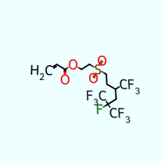 C=CC(=O)OCCS(=O)(=O)CCC(CC(F)(C(F)(F)F)C(F)(F)F)C(F)(F)F